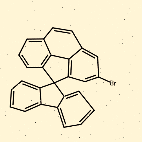 Brc1cc2c3c(ccc4cccc(c43)C23c2ccccc2-c2ccccc23)c1